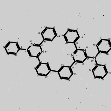 c1ccc(-c2cc(-c3cccc(-c4cccc(-c5cc(N(c6ccccc6)c6ccccc6)nc(-c6ccccc6)n5)c4)c3)nc(-c3ccccc3)n2)cc1